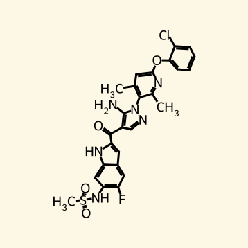 Cc1cc(Oc2ccccc2Cl)nc(C)c1-n1ncc(C(=O)c2cc3cc(F)c(NS(C)(=O)=O)cc3[nH]2)c1N